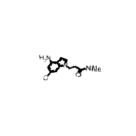 CNC(=O)CCn1ccc2c(N)cc(Cl)cc21